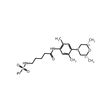 Cc1cc(N2C[C@@H](C)O[C@@H](C)C2)c(C)cc1NC(=O)CCCCNS(=O)(=O)C(C)C